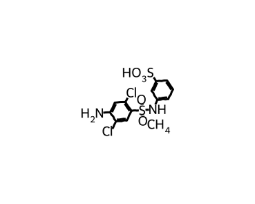 C.Nc1cc(Cl)c(S(=O)(=O)Nc2cccc(S(=O)(=O)O)c2)cc1Cl